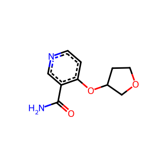 NC(=O)c1cnccc1OC1CCOC1